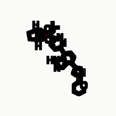 CN(c1ccc(-c2ccc(-c3cnn(C4CCCCO4)c3)c3cn[nH]c23)nn1)[C@@H]1C[C@H]2CC[C@@H](C1)N2C(=O)OC(C)(C)C